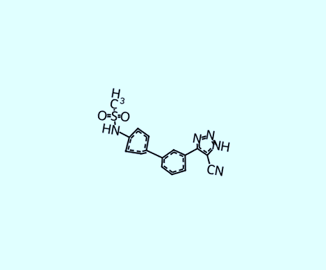 CS(=O)(=O)Nc1ccc(-c2cccc(-c3nn[nH]c3C#N)c2)cc1